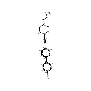 CCCC1CCC(C#Cc2ccc(-c3ccc(Br)cc3)cc2)CC1